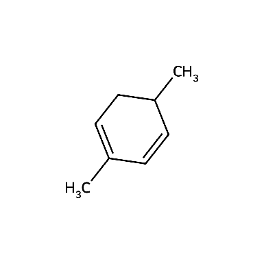 CC1=CCC(C)C=C1